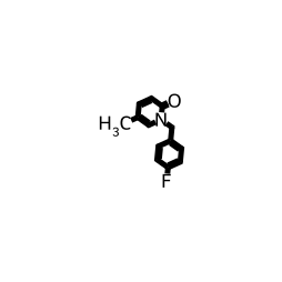 Cc1ccc(=O)n(Cc2ccc(F)cc2)c1